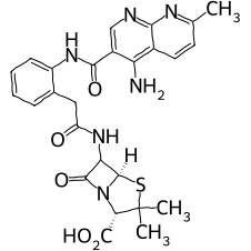 Cc1ccc2c(N)c(C(=O)Nc3ccccc3CC(=O)NC3C(=O)N4[C@@H]3SC(C)(C)[C@@H]4C(=O)O)cnc2n1